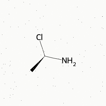 C[C@H](N)Cl